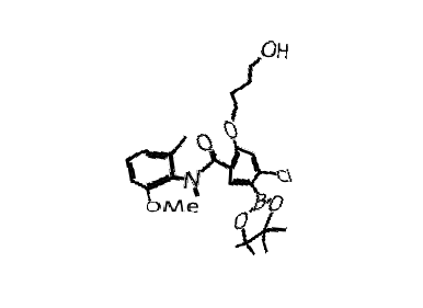 COc1cccc(C)c1N(C)C(=O)c1cc(B2OC(C)(C)C(C)(C)O2)c(Cl)cc1OCCCCO